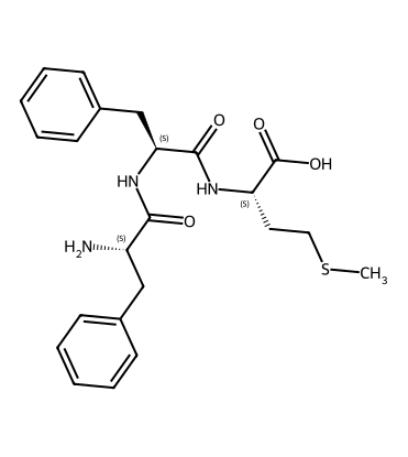 CSCC[C@H](NC(=O)[C@H](Cc1ccccc1)NC(=O)[C@@H](N)Cc1ccccc1)C(=O)O